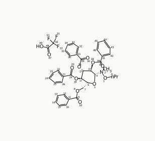 CCCON(C)[C@@H]1O[C@H](COC(=O)c2ccccc2)[C@@H](OC(=O)c2ccccc2)[C@H](OC(=O)c2ccccc2)[C@H]1OC(=O)c1ccccc1.O=C(O)C(F)(F)F